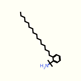 CCCCCCCCCCCCCCCCc1ccccc1C(C)(C)N